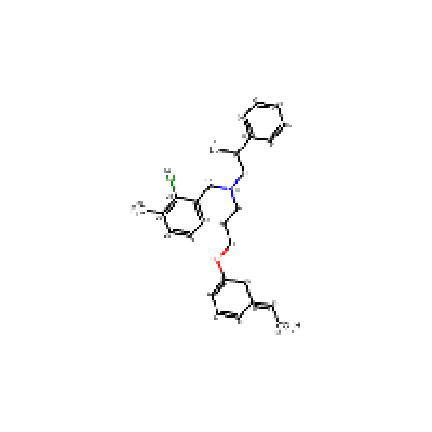 CC[C@H](CN(CCCOC1=CC=C/C(=C\C(=O)O)C1)Cc1cccc(C(F)(F)F)c1Cl)c1ccccc1